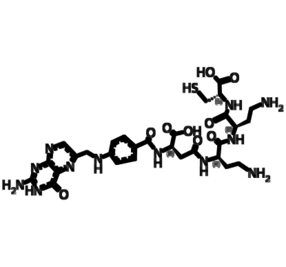 NCC[C@@H](NC(=O)C[C@@H](NC(=O)c1ccc(NCc2cnc3nc(N)[nH]c(=O)c3n2)cc1)C(=O)O)C(=O)N[C@H](CCN)C(=O)N[C@H](CS)C(=O)O